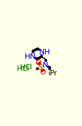 CC(C)CN(C[C@H]1CNCCN1)S(C)(=O)=O.Cl.Cl